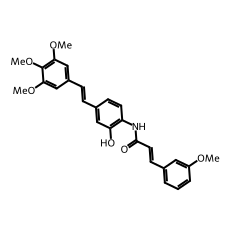 COc1cccc(C=CC(=O)Nc2ccc(C=Cc3cc(OC)c(OC)c(OC)c3)cc2O)c1